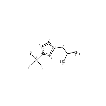 CC(O)Cc1noc(C(F)(F)F)n1